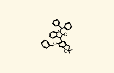 CC1(C)Cc2cc(C3C(=O)N(C(c4ccccc4)c4ccccc4)c4ccccc43)c(OCc3ccccc3)cc2O1